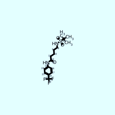 CC(C)(C)S(=O)(=O)NCCCCC(=O)Nc1ccc(C(F)(F)F)cc1